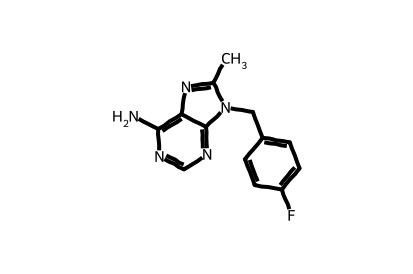 Cc1nc2c(N)ncnc2n1Cc1ccc(F)cc1